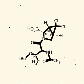 C[C@@H](OC(C)(C)C)C(NC(=O)C(F)(F)F)C(=O)N1C[C@H]2[C@@H]([C@H]1C(=O)O)C2(Cl)Cl